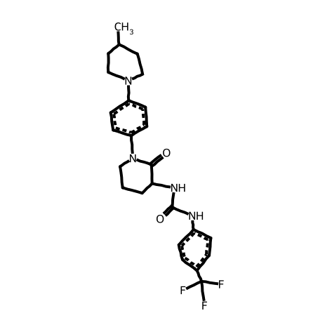 CC1CCN(c2ccc(N3CCCC(NC(=O)Nc4ccc(C(F)(F)F)cc4)C3=O)cc2)CC1